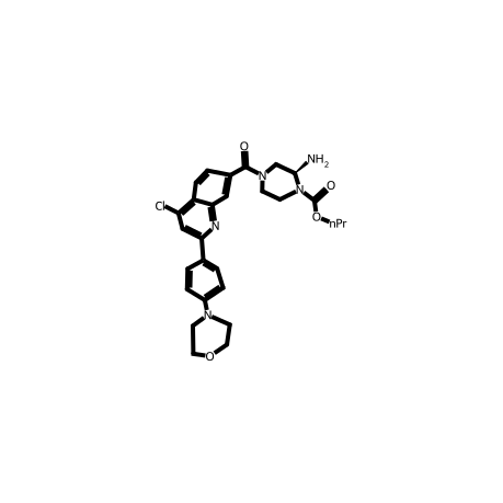 CCCOC(=O)N1CCN(C(=O)c2ccc3c(Cl)cc(-c4ccc(N5CCOCC5)cc4)nc3c2)C[C@H]1N